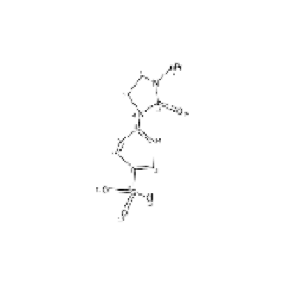 CCCN1CCN(c2ccc(S(=O)(=O)Cl)cc2)C1=O